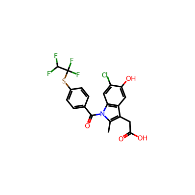 Cc1c(CC(=O)O)c2cc(O)c(Cl)cc2n1C(=O)c1ccc(SC(F)(F)C(F)F)cc1